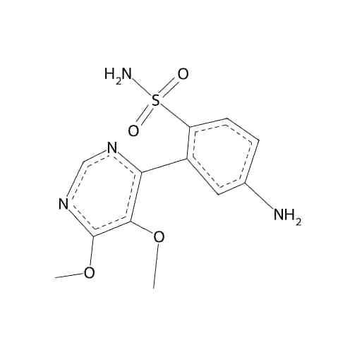 COc1ncnc(-c2cc(N)ccc2S(N)(=O)=O)c1OC